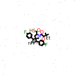 CCCC(c1ccc(F)cc1)C1(C(CCC)c2ccc(F)cc2)CC(C(=O)S)N(C(=O)C(=O)C(C)(C)CC)C1